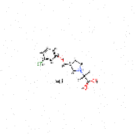 CC(C)(C(=O)[O-])N1CCC(COc2cccc(Cl)c2)C1.[Li+]